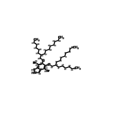 CCCCCCCCC(CCCCCC)COC1=C(Br)C2=CNSN2C(Br)=C1OCC(CCCCCC)CCCCCCCC